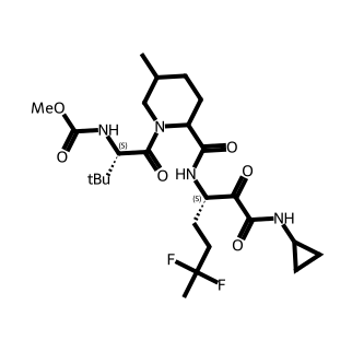 COC(=O)N[C@H](C(=O)N1CC(C)CCC1C(=O)N[C@@H](CCC(C)(F)F)C(=O)C(=O)NC1CC1)C(C)(C)C